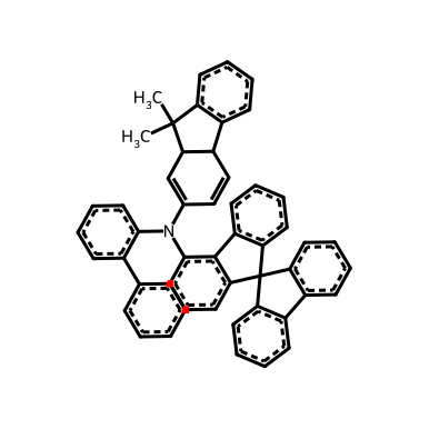 CC1(C)c2ccccc2C2C=CC(N(c3ccccc3-c3ccccc3)c3cccc4c3-c3ccccc3C43c4ccccc4-c4ccccc43)=CC21